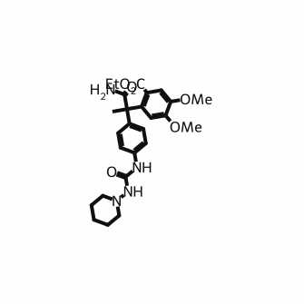 CCOC(=O)c1cc(OC)c(OC)cc1C(C)(C(N)=O)c1ccc(NC(=O)NN2CCCCC2)cc1